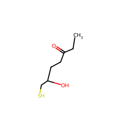 CCC(=O)CCC(O)CS